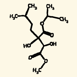 COC(=O)C(O)C(O)(CCC(C)C)C(=O)OC(C)C